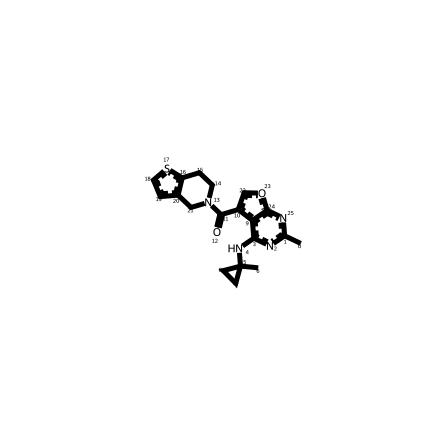 Cc1nc(NC2(C)CC2)c2c(C(=O)N3CCc4sccc4C3)coc2n1